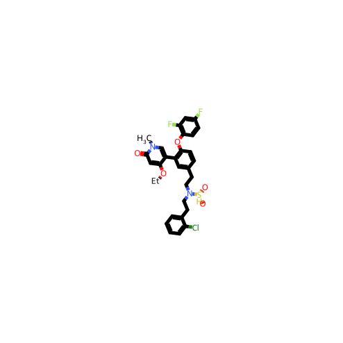 CCOc1cc(=O)n(C)cc1-c1cc(CCN(CCc2ccccc2Cl)[SH](=O)=O)ccc1Oc1ccc(F)cc1F